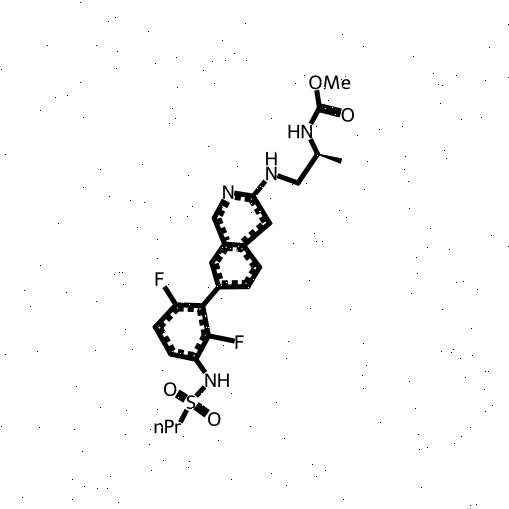 CCCS(=O)(=O)Nc1ccc(F)c(-c2ccc3cc(NC[C@H](C)NC(=O)OC)ncc3c2)c1F